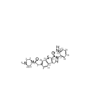 CN1CCN(C(=O)Cc2ccc3cc(C(=O)Nc4ccccc4N)sc3c2)CC1